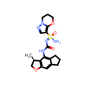 C[C@@H]1COc2cc3c(c(NC(=O)N=S(N)(=O)c4cnn5c4OCCC5)c21)CCC3